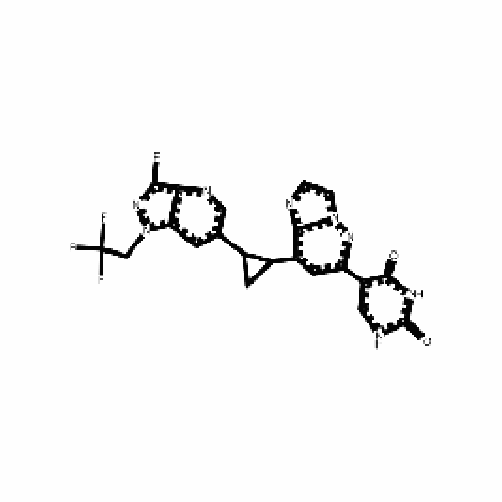 O=c1[nH]cc(-c2cc(C3CC3c3cnc4c(F)nn(CC(F)(F)F)c4c3)c3nccn3n2)c(=O)[nH]1